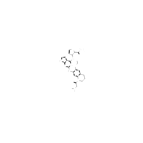 CCOc1cc2c(cc1Nc1nc(NC3C=CSC3C(N)=O)c3cc[nH]c3n1)N(C(=O)CN(C)C)CCC2